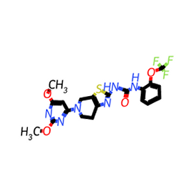 COc1cc(N2CCc3nc(NC(=O)Nc4ccccc4OC(F)(F)F)sc3C2)nc(OC)n1